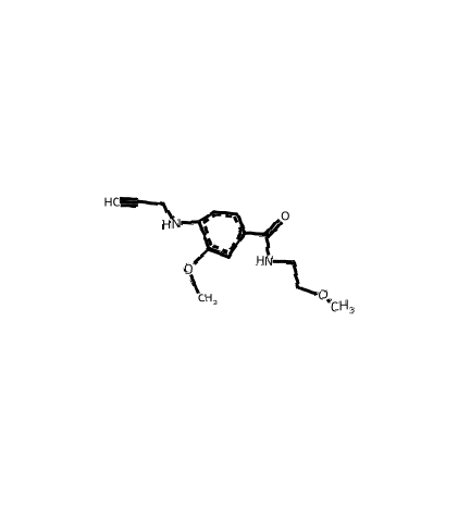 C#CCNc1ccc(C(=O)NCCOC)cc1OC